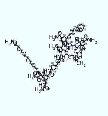 CCn1nc(C)cc1C(=O)Nc1nc2cc(C(N)=O)cc(OC)c2n1C/C=C/Cn1c(NC(=O)c2cn(C)nc2CNC(=O)OCc2ccc(NC(=O)[C@H](CCCNC(N)=O)NC(=O)[C@@H](NC(=O)CCOCCOCCOCCOCCON)C(C)C)cc2)nc2cc(C(N)=O)cc(OCCCN3CC4(CCCCO4)C3)c21